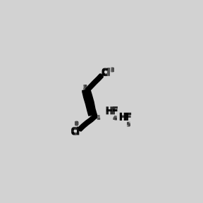 ClC=CCl.F.F